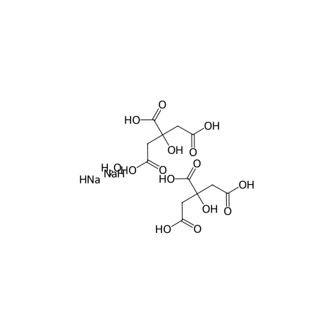 O.O=C(O)CC(O)(CC(=O)O)C(=O)O.O=C(O)CC(O)(CC(=O)O)C(=O)O.[NaH].[NaH]